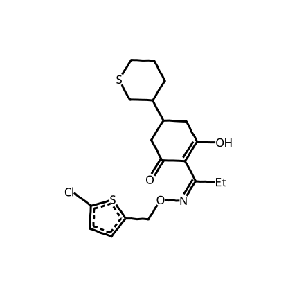 CC/C(=N/OCc1ccc(Cl)s1)C1=C(O)CC(C2CCCSC2)CC1=O